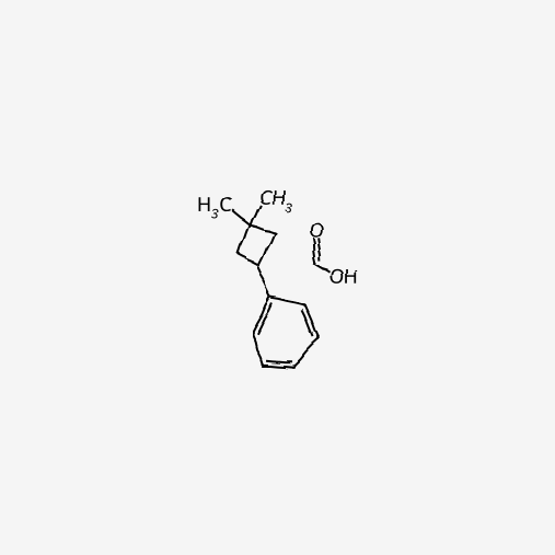 CC1(C)CC(c2ccccc2)C1.O=CO